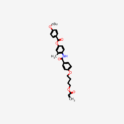 C=CC(=O)OCCCCOc1ccc(C(=O)Nc2ccc(OC(=O)c3ccc(OCCCC)cc3)cc2C)cc1